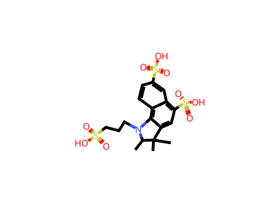 CC1N(CCCS(=O)(=O)O)c2c(cc(S(=O)(=O)O)c3cc(S(=O)(=O)O)ccc23)C1(C)C